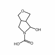 O=C(O)N1CC2COCC2C1O